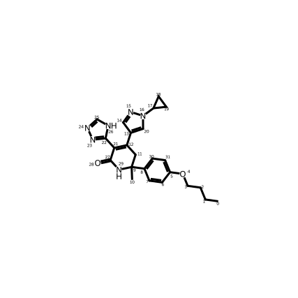 CCCCOc1ccc(C2(C)CC(c3cnn(C4CC4)c3)=C(c3nnc[nH]3)C(=O)N2)cc1